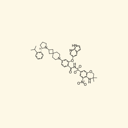 CC(C)c1ccccc1[C@@H]1CCCN1C1CC2(CCN(c3ccc(C(=O)NS(=O)(=O)c4cc5c(c([N+](=O)[O-])c4)NC(C)(C)CO5)c(Oc4cnc5[nH]ccc5c4)c3)CC2)C1